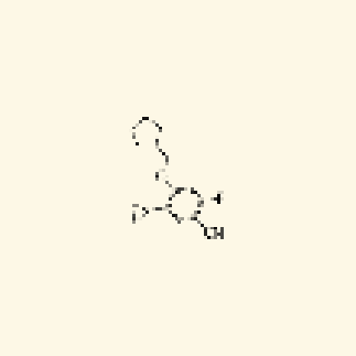 N#Cc1cc(C2CC2)c(OCC2CCCC2)cc1F